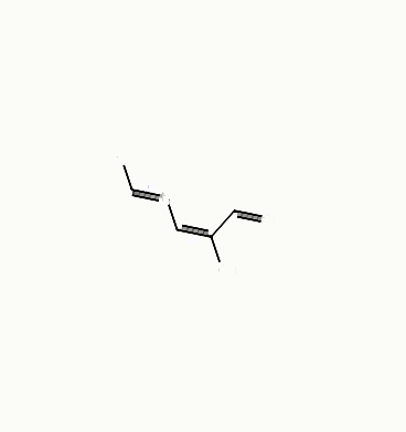 C=C/C(C)=C\N=C\Cl